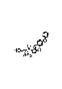 CC(=O)SC1CC(=O)N(Cc2ccc(Oc3ccccc3)cc2)C1C(=O)NCCO